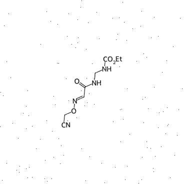 CCOC(=O)NCNC(=O)/C=N/OCC#N